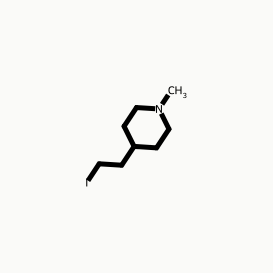 CN1CCC(CCI)CC1